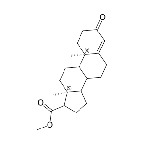 COC(=O)C1CCC2C3CCC4=CC(=O)CC[C@]4(C)C3CC[C@]12C